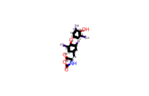 O=C1N[C@@H](Cc2cc(I)c(Oc3cc(I)c(O)c(I)c3)c(I)c2)C(=O)O1